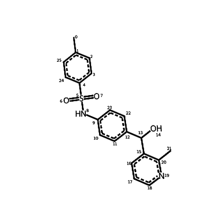 Cc1ccc(S(=O)(=O)Nc2ccc(C(O)c3cccnc3C)cc2)cc1